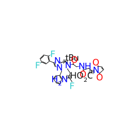 CC(C)(C)[C@H](c1nc(-c2cc(F)ccc2F)cn1Cc1ccccc1)N(CC[C@H](N)CF)C(=O)CNC(=O)C[C@@H](C(=O)O)N1C(=O)C=CC1=O